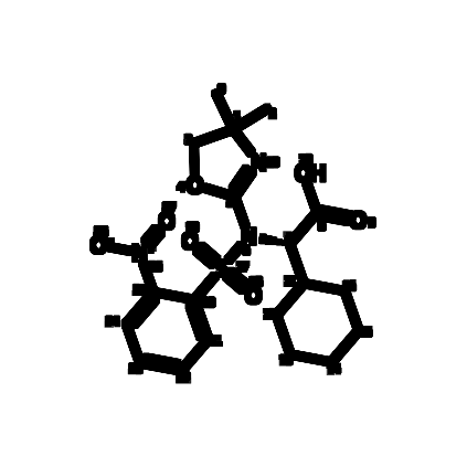 CC1(C)COC(N([C@H](C(=O)O)C2CCCCC2)S(=O)(=O)c2ccccc2[N+](=O)[O-])=N1